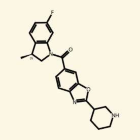 C[C@@H]1CN(C(=O)c2ccc3nc(C4CCCNC4)oc3c2)c2cc(F)ccc21